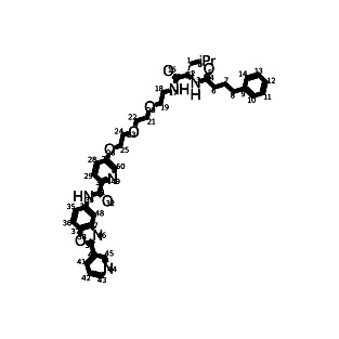 CC(C)C[C@H](NC(=O)CCCc1ccccc1)C(=O)NCCOCCOCCOc1ccc(C(=O)Nc2ccc3oc(-c4cccnc4)nc3c2)nc1